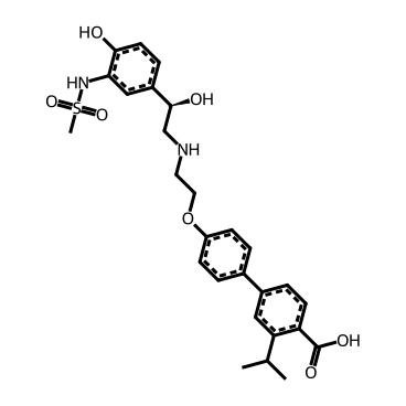 CC(C)c1cc(-c2ccc(OCCNC[C@H](O)c3ccc(O)c(NS(C)(=O)=O)c3)cc2)ccc1C(=O)O